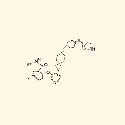 CC(C)N(C(=O)c1cc(F)ccc1Oc1cncnc1N1CC2(CCN(CC3CCN(SN4CC5CC4CN5)CC3)CC2)C1)C(C)C